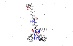 CCC(C)(C)C(=O)CCCCCCC(=O)NCCCCC(NC(=O)C(Cc1ccccc1)NC(=O)C(Cc1ccccc1)NC(C)(C)C)C(=O)O